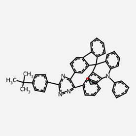 CC(C)(C)c1ccc(-c2nnc(-c3ccccc3)c(-c3ccc4c(c3)C3(c5ccccc5-4)c4ccccc4N(c4ccccc4)c4ccccc43)n2)cc1